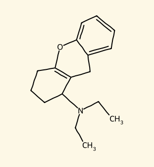 CCN(CC)C1CCCC2=C1Cc1ccccc1O2